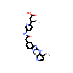 Cc1ccncc1Nc1nc2cc(CC(=O)Nc3ccc(C(C)CC(=O)O)nc3)ccc2n1C